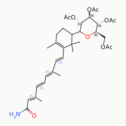 CC(=O)OC[C@H]1OC(C2CCC(C)=C(/C=C/C(C)=C/C=C/C(C)=C/C(N)=O)C2(C)C)[C@H](OC(C)=O)[C@@H](OC(C)=O)[C@@H]1OC(C)=O